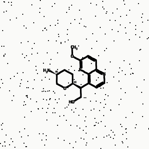 COc1ccc2nccc(C(CO)[C@@H]3CC[C@@H](N)CO3)c2n1